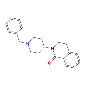 O=C1c2ccccc2CCN1C1CCN(Cc2ccccc2)CC1